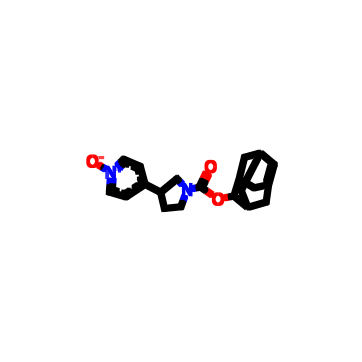 O=C(OC1C2CC3=CC(C2)CC1C3)N1CCC(c2cc[n+]([O-])cc2)C1